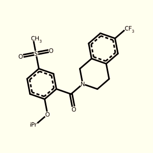 CC(C)Oc1ccc(S(C)(=O)=O)cc1C(=O)N1CCc2cc(C(F)(F)F)ccc2C1